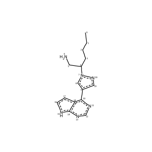 CCCCC(CN)n1cc(-c2ncnc3[nH]ccc23)cn1